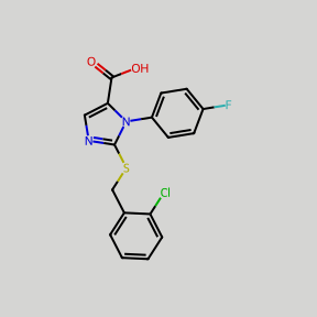 O=C(O)c1cnc(SCc2ccccc2Cl)n1-c1ccc(F)cc1